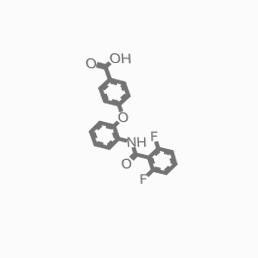 O=C(O)c1ccc(Oc2ccccc2NC(=O)c2c(F)cccc2F)cc1